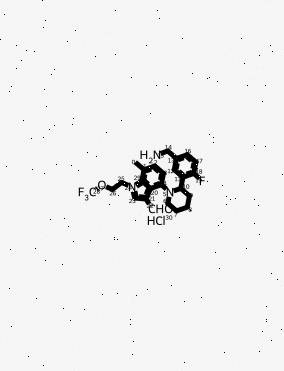 Cc1ccc(N2CCCCC2c2cc(CN)ccc2F)c2c(C=O)cn(CCOC(F)(F)F)c12.Cl